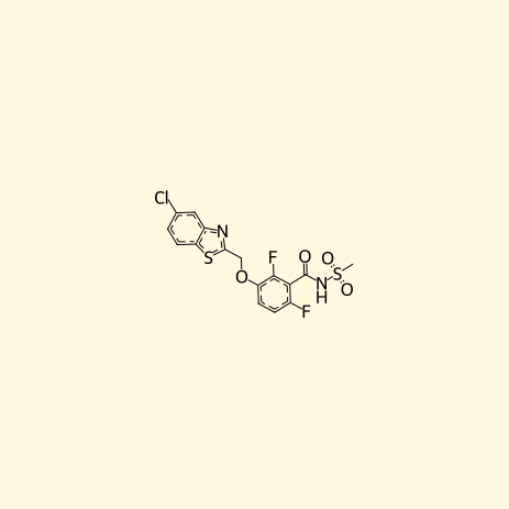 CS(=O)(=O)NC(=O)c1c(F)ccc(OCc2nc3cc(Cl)ccc3s2)c1F